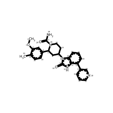 COc1cc(C2CC(n3c(=O)[nH]c4c(-c5cccnc5)cccc43)CCN2C(N)=O)ccc1C